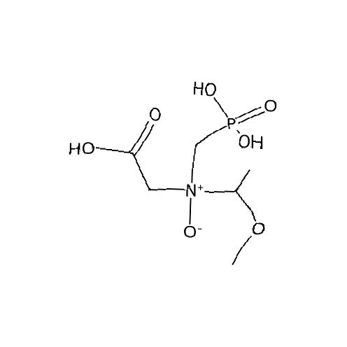 COC(C)[N+]([O-])(CC(=O)O)CP(=O)(O)O